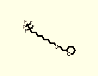 FC(F)(F)C(F)(F)CCCCCCCCOCCC1CCCCO1